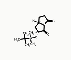 CC(C)(C)[Si](C)(C)O[C@@H]1C[C@@H]2CCC(=O)N2C1=O